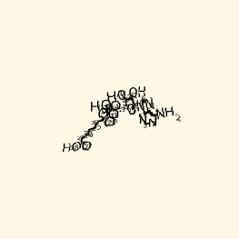 Nc1ncnc2c1ncn2[C@@H]1O[C@H](COP(=O)(O)OC(=O)CCCCCC(=O)O)[C@@H](O)[C@H]1O